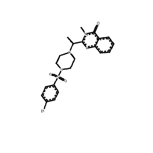 CCc1ccc(S(=O)(=O)N2CCN(C(C)c3nc4ccccc4c(=O)n3C)CC2)cc1